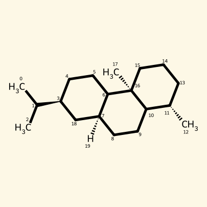 CC(C)[C@H]1CCC2[C@@H](CCC3[C@@H](C)CCC[C@]23C)C1